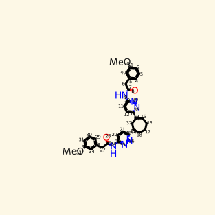 COc1cccc(CC(=O)Nc2ccc([C@H]3CCCC[C@H](c4ccc(NC(=O)Cc5cccc(OC)c5)nn4)C3)nn2)c1